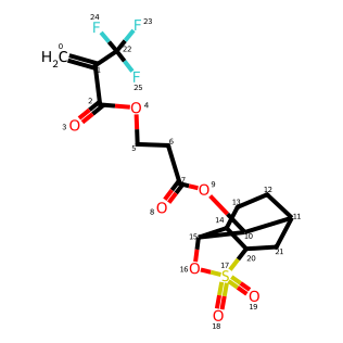 C=C(C(=O)OCCC(=O)OC1C2CCC3C1OS(=O)(=O)C3C2)C(F)(F)F